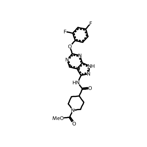 COC(=O)N1CCC(C(=O)Nc2n[nH]c3nc(Oc4ccc(F)cc4F)ncc23)CC1